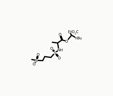 CCCCC(OC(=O)C(C)NS(=O)(=O)CCCS(C)(=O)=O)C(=O)OCC